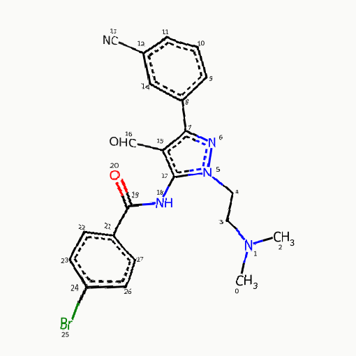 CN(C)CCn1nc(-c2cccc(C#N)c2)c(C=O)c1NC(=O)c1ccc(Br)cc1